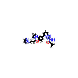 O=C(Nc1nc2cccc(-c3ccc(OC(CCCn4cccn4)n4cccn4)cc3)n2n1)C1CC1